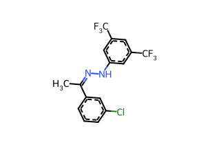 CC(=NNc1cc(C(F)(F)F)cc(C(F)(F)F)c1)c1cccc(Cl)c1